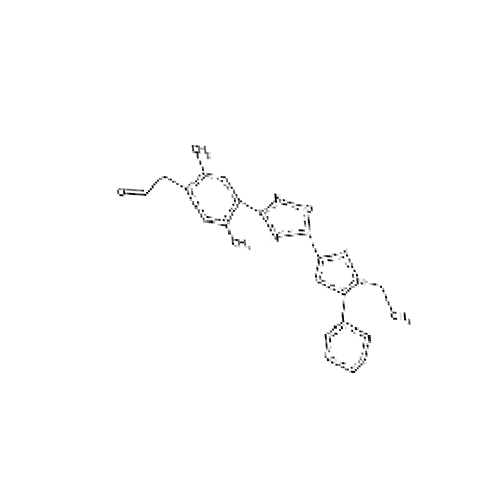 CCn1nc(-c2nc(-c3cc(C)c(CC=O)cc3C)no2)cc1-c1ccccc1